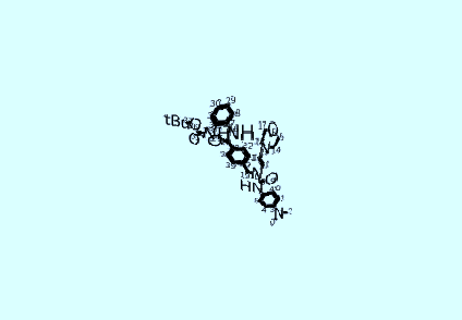 CN(C)c1ccc(NC(=O)N(CCN2CCOCC2)Cc2ccc(C(=O)Nc3ccccc3NC(=O)OC(C)(C)C)cc2)cc1